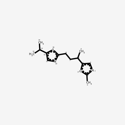 Cc1ncc(C(C)CCc2ncc(C(C)C)s2)o1